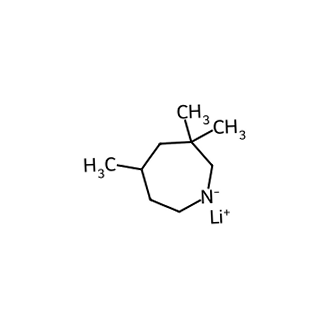 CC1CC[N-]CC(C)(C)C1.[Li+]